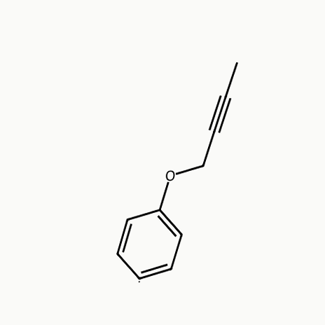 CC#CCOc1cc[c]cc1